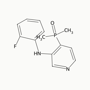 CP(C)(=O)c1ccncc1Nc1ccccc1F